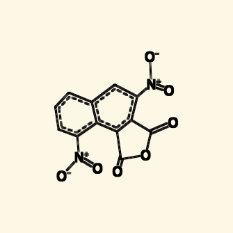 O=C1OC(=O)c2c1c([N+](=O)[O-])cc1cccc([N+](=O)[O-])c21